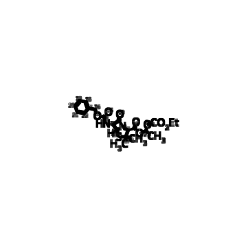 CCOC(=O)OC(C)OC(=O)[C@@H]1N2C(=O)[C@@H](NC(=O)OCc3ccccc3)[C@H]2SC1(C)C